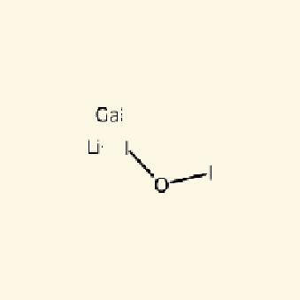 IOI.[Ga].[Li]